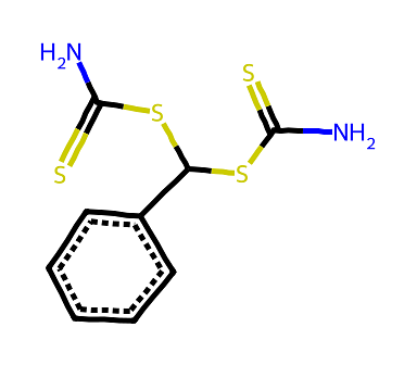 NC(=S)SC(SC(N)=S)c1ccccc1